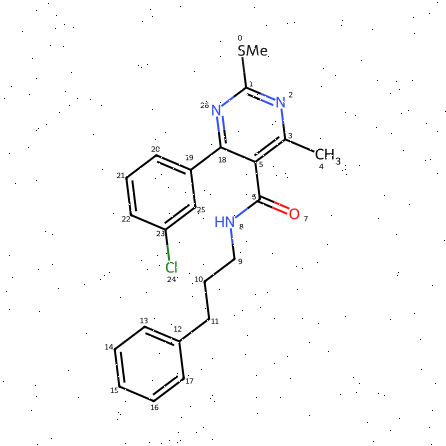 CSc1nc(C)c(C(=O)NCCCc2ccccc2)c(-c2cccc(Cl)c2)n1